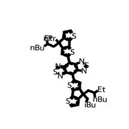 CCCCC(CC)CC1(CCC)c2ccsc2-c2sc(-c3c4c(c(-c5cc6c(s5)-c5sccc5C6(CC(C)CC)CC(CC)CCCC)c5nsnc35)N=S=N4)cc21